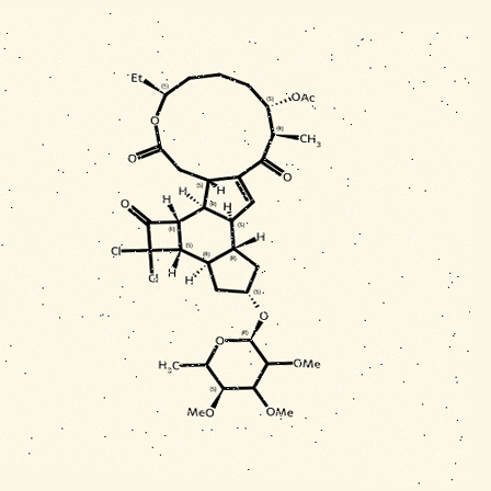 CC[C@H]1CCC[C@H](OC(C)=O)[C@@H](C)C(=O)C2=C[C@H]3[C@@H]4C[C@H](O[C@@H]5OC(C)[C@H](OC)C(OC)C5OC)C[C@H]4[C@H]4[C@H](C(=O)C4(Cl)Cl)[C@H]3[C@@H]2CC(=O)O1